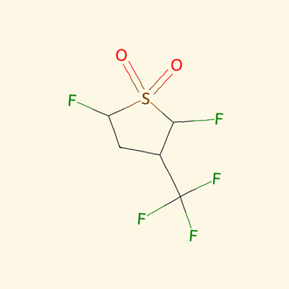 O=S1(=O)C(F)CC(C(F)(F)F)C1F